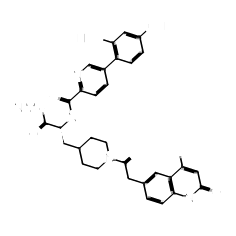 CNC(=O)[C@H](CC1CCN(C(=O)Cc2ccc3[nH]c(=O)cc(C)c3c2)CC1)NC(=O)c1ccc(-c2ccc(C)cc2C)cn1